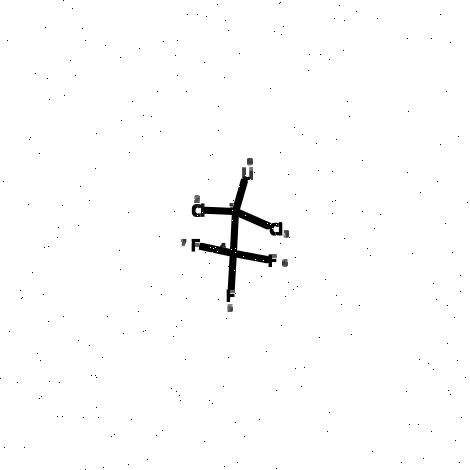 [Li][C](Cl)(Cl)C(F)(F)F